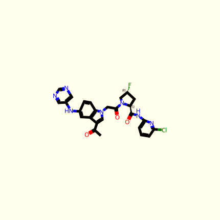 CC(=O)c1cn(CC(=O)N2C[C@H](F)C[C@H]2C(=O)Nc2cccc(Cl)n2)c2ccc(Nc3cncnc3)cc12